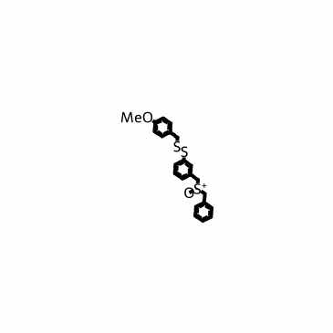 COc1ccc(CSSc2cccc(C[S+]([O-])Cc3ccccc3)c2)cc1